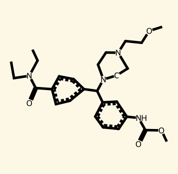 CCN(CC)C(=O)c1ccc(C(c2cccc(NC(=O)OC)c2)N2CCN(CCOC)CC2)cc1